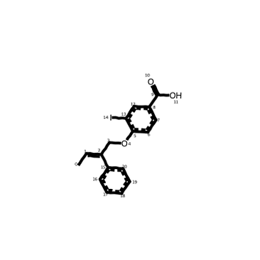 CC=C(COc1ccc(C(=O)O)cc1I)c1ccccc1